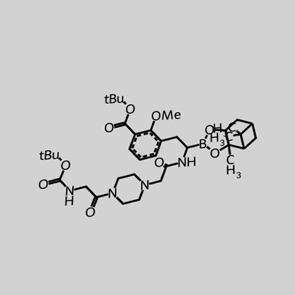 COc1c(CC(NC(=O)CN2CCN(C(=O)CNC(=O)OC(C)(C)C)CC2)B2OC3CC4CC(C4(C)C)C3(C)O2)cccc1C(=O)OC(C)(C)C